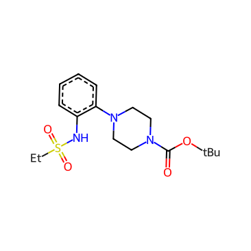 CCS(=O)(=O)Nc1ccccc1N1CCN(C(=O)OC(C)(C)C)CC1